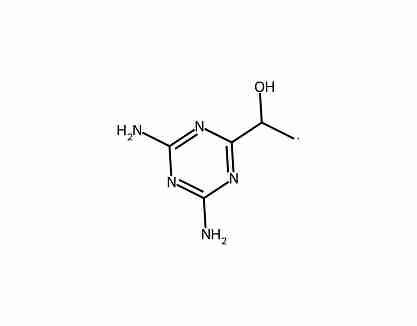 [CH2]C(O)c1nc(N)nc(N)n1